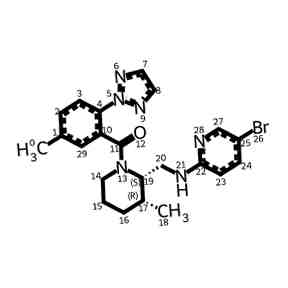 Cc1ccc(-n2nccn2)c(C(=O)N2CCC[C@@H](C)[C@H]2CNc2ccc(Br)cn2)c1